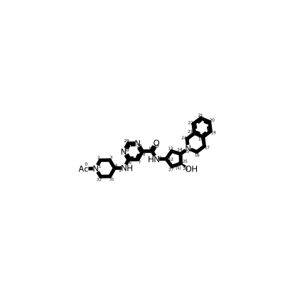 CC(=O)N1CCC(Nc2cc(C(=O)NC3CC(N4CCc5ccccc5C4)[C@@H](O)C3)ncn2)CC1